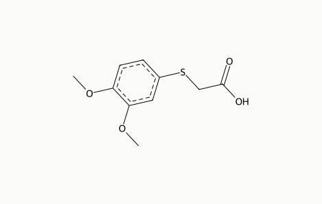 COc1ccc(SCC(=O)O)cc1OC